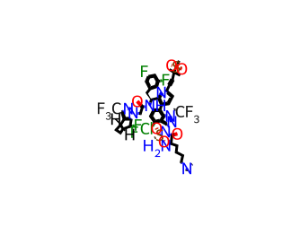 CN(C)CCCC[C@H](N)C(=O)N(c1nn(CC(F)(F)F)c2c(-c3ccc(C#CC(C)(C)S(C)(=O)=O)nc3[C@H](Cc3cc(F)cc(F)c3)NC(=O)Cn3nc(C(F)(F)F)c4c3C(F)(F)[C@@H]3CC[C@H]43)ccc(Cl)c12)S(C)(=O)=O